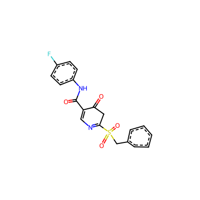 O=C1CC(S(=O)(=O)Cc2ccccc2)=NC=C1C(=O)Nc1ccc(F)cc1